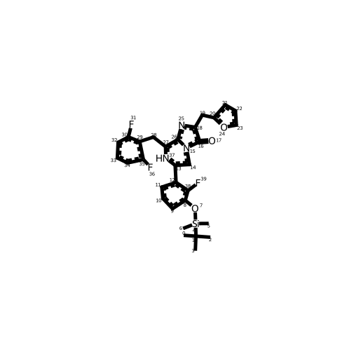 CC(C)(C)[Si](C)(C)Oc1cccc(-c2cn3c(=O)c(Cc4ccco4)nc-3c(Cc3c(F)cccc3F)[nH]2)c1F